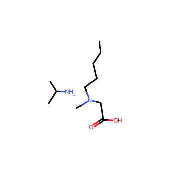 CC(C)N.CCCCCN(C)CC(=O)O